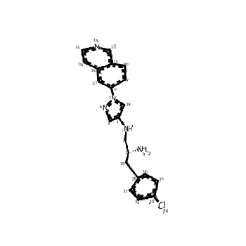 N[C@@H](CNc1cnn(-c2ccc3cnccc3c2)c1)Cc1ccc(Cl)cc1